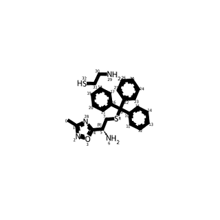 Cc1noc([C@@H](N)CSC(c2ccccc2)(c2ccccc2)c2ccccc2)n1.NCCS